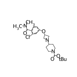 CN(C)C(=O)c1ccc(OC2CN(C3CCN(C(=O)OC(C)(C)C)CC3)C2)cc1Cl